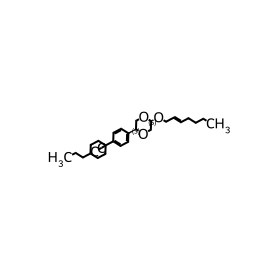 CCCCC=CCO[C@@H]1CO[C@@H](c2ccc(C34CCC(CCC)(CC3)CC4)cc2)CO1